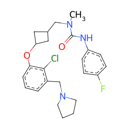 CN(CC1CC(Oc2cccc(CN3CCCC3)c2Cl)C1)C(=O)Nc1ccc(F)cc1